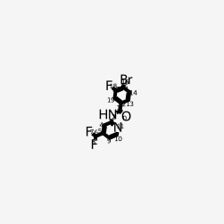 O=C(Nc1cc(C(F)F)ccn1)c1ccc(Br)c(F)c1